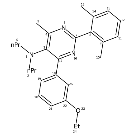 CCCN(CCC)c1c(C)nc(-c2c(C)cccc2C)nc1-c1cccc(OCC)c1